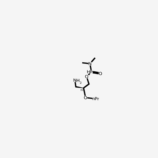 CCCO[C@@H](CN)CO[PH](=O)N(C)C